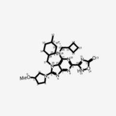 COC1CCN(c2nc3nc(-c4nc(=O)o[nH]4)nc(N[C@H](C)C4CCC4)c3n2CC2CCC(C)CC2)C1